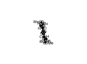 CC[C@@H](C)[C@H](NC(=O)OC)C(=O)N1[C@@H](C)CC[C@H]1c1nc(Cl)c(-c2cc3c4c(c2)OCc2cc(-c5[nH]c([C@@H]6CC[C@H](C)N6C(=O)[C@@H](NC(=O)OC)[C@H](C)CC)nc5Cl)cc(c2-4)OC3)[nH]1